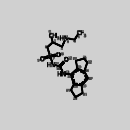 CC(CNCC(F)(F)F)CS(=O)(=O)NC(=O)Nc1c2c(cc3c1CCC3)CCC2